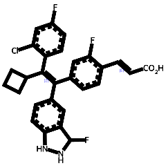 O=C(O)/C=C/c1ccc(/C(=C(\c2ccc(F)cc2Cl)C2CCC2)c2ccc3c(c2)C(F)NN3)cc1F